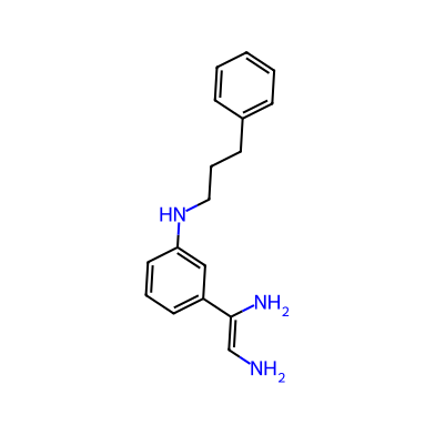 N/C=C(\N)c1cccc(NCCCc2ccccc2)c1